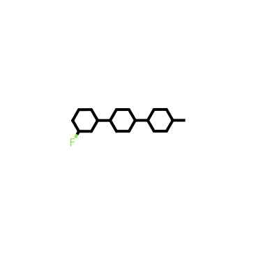 CC1CCC(C2CCC(C3CCCC(F)C3)CC2)CC1